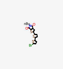 CCCCN1C(=O)c2cc(-c3ccc(-c4ccc(Br)s4)s3)sc2C1=O